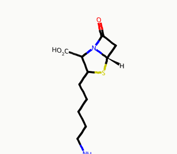 NCCCCCC1S[C@H]2CC(=O)N2C1C(=O)O